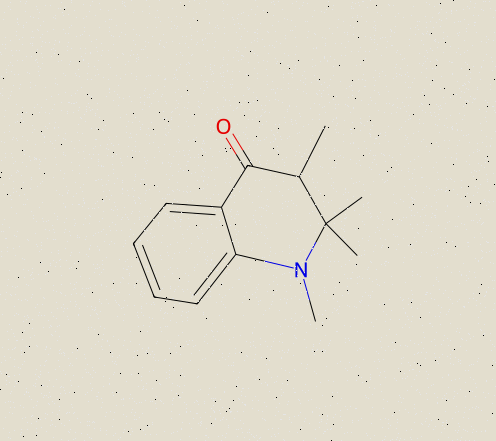 CC1C(=O)c2ccccc2N(C)C1(C)C